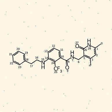 Cc1cc(C)c(CNC(=O)c2cccc(NCCc3ccccc3)c2C(F)(F)F)c(=O)[nH]1